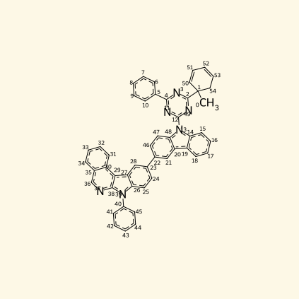 CC1(c2nc(-c3ccccc3)nc(-n3c4ccccc4c4cc(-c5ccc6c(c5)c5c7ccccc7cnc5n6-c5ccccc5)ccc43)n2)C=CC=CC1